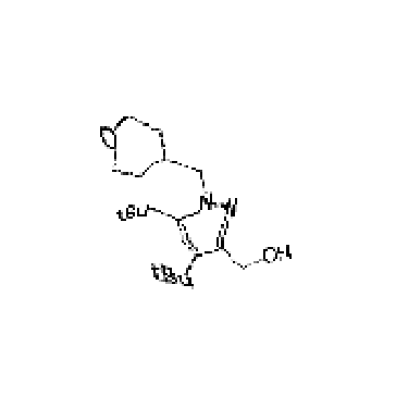 CC(C)(C)c1c(CO)nn(CC2CCOCC2)c1C(C)(C)C